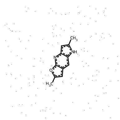 Cc1cc2nc3oc(C)cc3cc2[nH]1